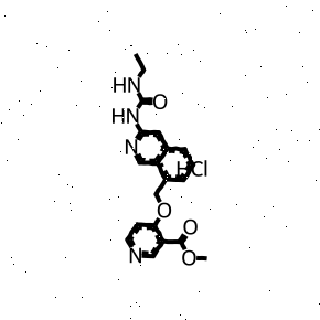 CCNC(=O)Nc1cc2cccc(COc3ccncc3C(=O)OC)c2cn1.Cl